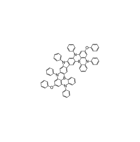 c1ccc(Oc2cc3c4c(c2)N(c2ccccc2)c2cc5c(cc2B4c2ccccc2N3c2ccccc2)c2cc3c(cc2n5-c2ccccc2)N(c2ccccc2)c2cc(Oc4ccccc4)cc4c2B3c2ccccc2N4c2ccccc2)cc1